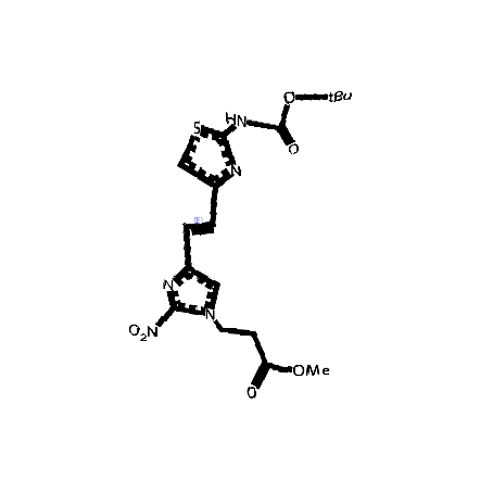 COC(=O)CCn1cc(/C=C/c2csc(NC(=O)OC(C)(C)C)n2)nc1[N+](=O)[O-]